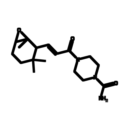 CC1(C)CCC2OC2(C)C1/C=C/C(=O)N1CCN(C(N)=O)CC1